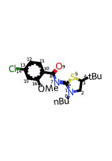 CCCCN1CC(C(C)(C)C)SC1=NC(=O)c1ccc(Cl)cc1OC